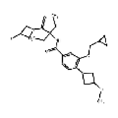 CCC(CC)(NC(=O)c1ccc(N2CC(OC)C2)c(OCC2CC2)n1)C(=O)N1CC(F)C1